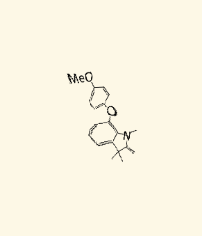 C=C1N(C)c2c(Oc3ccc(OC)cc3)cccc2C1(C)C